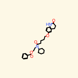 O=C1CCc2cc(OCCCCC(=O)N(CCOC(=O)c3ccccc3)C3CCCCC3)ccc2N1